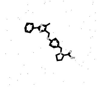 Cc1oc(-c2ccccc2)nc1COc1ccc(CN2CCCC2C(=O)O)cc1